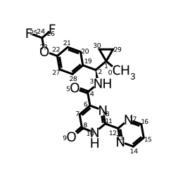 CC1([C@@H](NC(=O)c2cc(=O)[nH]c(-c3ncccn3)n2)c2ccc(OC(F)F)cc2)CC1